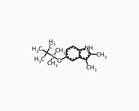 Cc1[nH]c2ccc(O[Si](C)(C)C(C)(C)C)cc2c1C